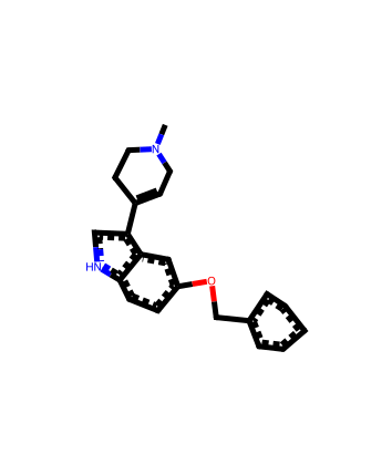 CN1CC=C(c2c[nH]c3ccc(OCc4ccccc4)cc23)CC1